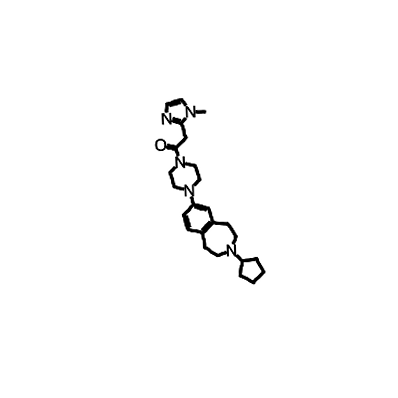 Cn1ccnc1CC(=O)N1CCN(c2ccc3c(c2)CCN(C2CCCC2)CC3)CC1